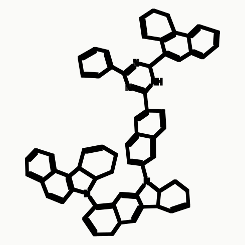 C1=Cc2c(C3N=C(c4ccccc4)N=C(c4ccc5cc(N6C7=CC8=C(N9c%10ccc%11ccccc%11c%10C%10C=CCCC%109)C=CCC8C=C7C7C=CCCC76)ccc5c4)N3)cc3ccccc3c2CC1